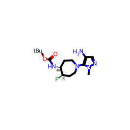 Cn1ncc(N)c1N1CC[C@@H](F)[C@H](NC(=O)OC(C)(C)C)CC1